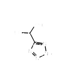 CC(c1nn[nH]n1)C(C)(C)C